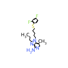 CCCc1nc2c(N)ncc(C)c2n1CCCCCSc1ccc(F)cc1F